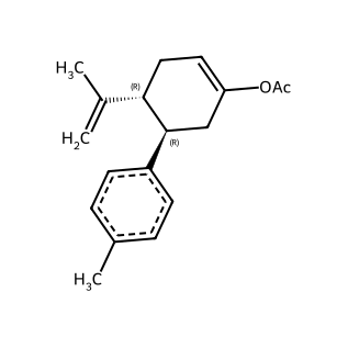 C=C(C)[C@@H]1CC=C(OC(C)=O)C[C@H]1c1ccc(C)cc1